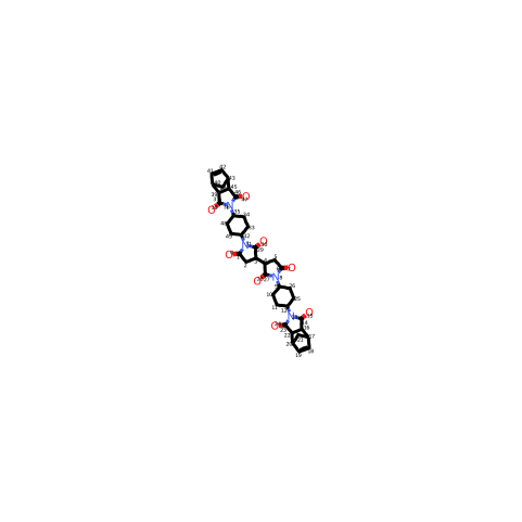 O=C1CC(C2CC(=O)N(C3CCC(N4C(=O)C5C6C=CC(C6)C5C4=O)CC3)C2=O)C(=O)N1C1CCC(N2C(=O)C3C4C=CC(C4)C3C2=O)CC1